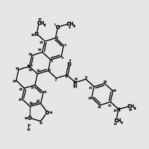 COc1ccc2c(CC(=O)NCc3ccc(N(C)C)cc3)c3[n+](cc2c1OC)CCc1cc2c(cc1-3)OCO2.[I-]